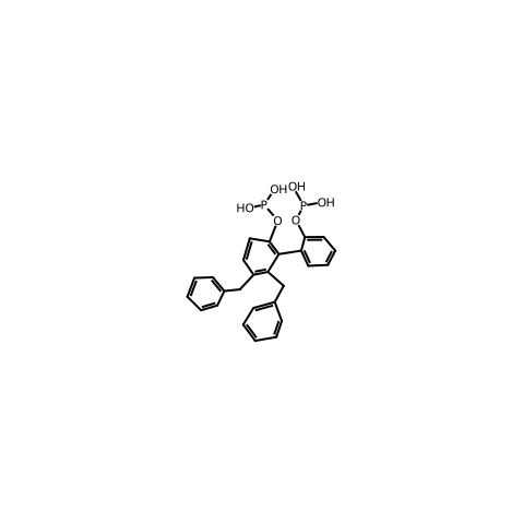 OP(O)Oc1ccccc1-c1c(OP(O)O)ccc(Cc2ccccc2)c1Cc1ccccc1